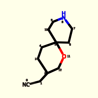 N#CCC1CCC2(CCNCC2)OC1